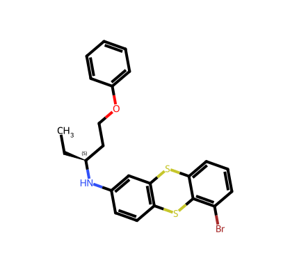 CC[C@@H](CCOc1ccccc1)Nc1ccc2c(c1)Sc1cccc(Br)c1S2